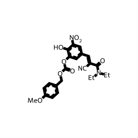 CCN(CC)C(=O)/C(C#N)=C/c1cc(OC(=O)OCc2ccc(OC)cc2)c(O)c([N+](=O)[O-])c1